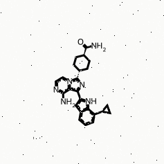 Nc1nccn2c1c(-c1cc3cccc(C4CC4)c3[nH]1)nc2[C@H]1CC[C@H](C(N)=O)CC1